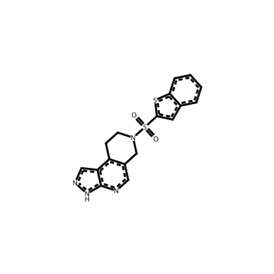 O=S(=O)(c1cc2ccccc2s1)N1CCc2c(cnc3[nH]ncc23)C1